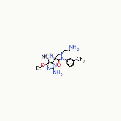 CCOc1nc(N)nc([C@@](N)(CCCCN)C(=O)Nc2cccc(C(F)(F)F)c2)c1C#N